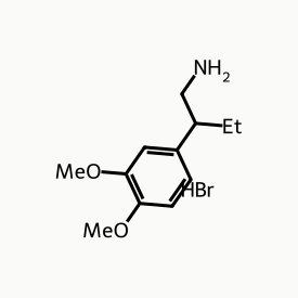 Br.CCC(CN)c1ccc(OC)c(OC)c1